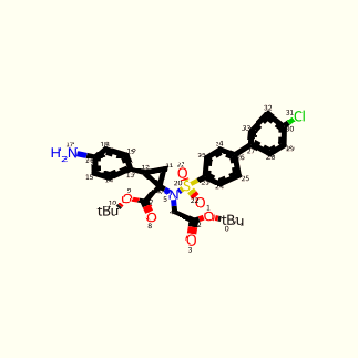 CC(C)(C)OC(=O)CN(C1(C(=O)OC(C)(C)C)CC1c1ccc(N)cc1)S(=O)(=O)c1ccc(-c2ccc(Cl)cc2)cc1